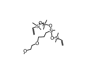 C=C[Si](C)(C)O[Si](C)(C)O[Si](C)(CCCOCCOC)O[Si](C)(C)C=C